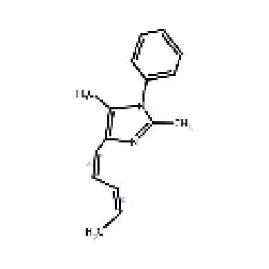 C/C=C\C=C/c1nc(C)n(-c2ccccc2)c1C